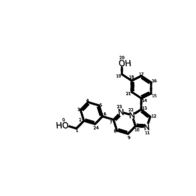 OCc1cccc(-c2ccc3ncc(-c4cccc(CO)c4)n3n2)c1